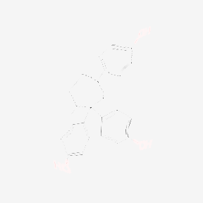 CC1CCC(c2ccc(O)cc2)CC1(c1ccc(O)cc1)c1ccc(O)cc1